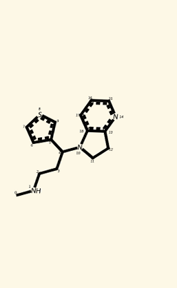 CNCCC(c1ccsc1)N1CCc2ncccc21